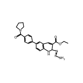 CCOC(=O)C1=Cc2cc(-c3ccc(C(=O)N4CCCC4)cc3)ccc2NC1N=NN